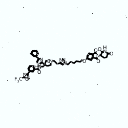 O=C1CCC(N2C(=O)c3ccc(OCCCCCCn4cc(CCN5CCC(CNC(=O)c6cccc(-c7noc(C(F)(F)F)n7)c6)(c6nc(-c7ccccc7)cs6)CC5)nn4)cc3C2=O)C(=O)N1